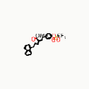 COC(=O)C(CCCc1cccc2ccccc12)CCc1ccc(OS(=O)(=O)C(F)(F)F)cc1